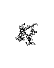 CCn1nc(C)cc1C(=O)Nc1nc2cc(CN)cc(OCCC(=O)NCCN)c2n1CCC[C@H]1COc2cc(C(N)=O)cc3nc(NC(=O)c4cc(C)nn4CC)n1c23